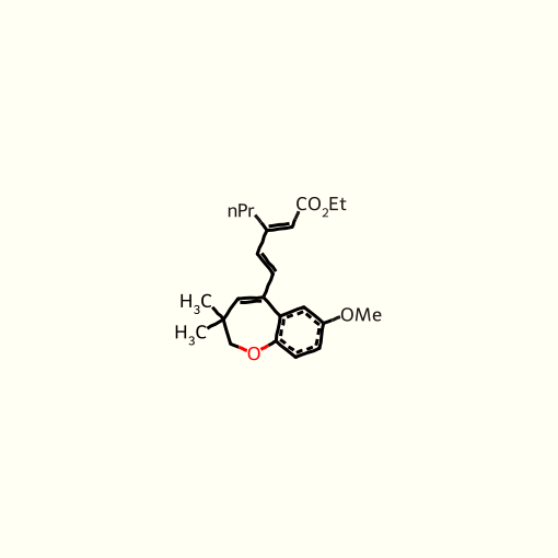 CCCC(C=CC1=CC(C)(C)COc2ccc(OC)cc21)=CC(=O)OCC